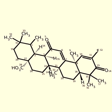 CC1[C@H]2[C@H]3C(=O)C=C4[C@@]5(C)C=C(F)C(=O)C(C)(C)[C@@H]5CC[C@@]4(C)[C@]3(C)CC[C@@]2(C(=O)O)CCC1(C)C